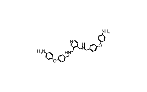 Nc1ccc(Oc2ccc(CNCc3ccncc3CNCc3ccc(Oc4ccc(N)cc4)cc3)cc2)cc1